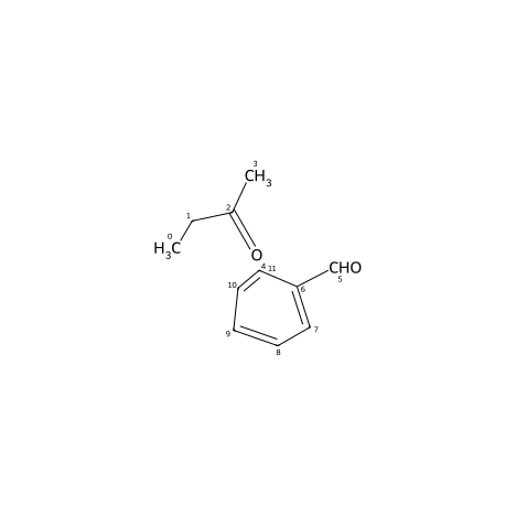 CCC(C)=O.O=Cc1ccccc1